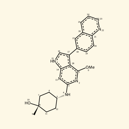 COc1nc(N[C@H]2CC[C@@](C)(O)CC2)nc2[nH]cc(-c3ccc4nnccc4c3)c12